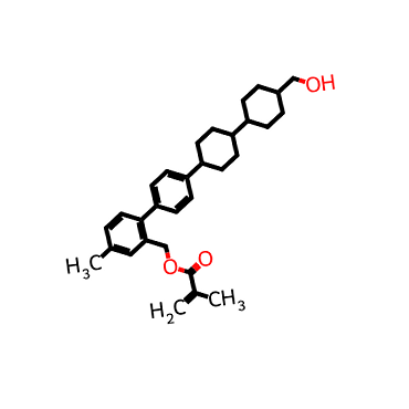 C=C(C)C(=O)OCc1cc(C)ccc1-c1ccc(C2CCC(C3CCC(CO)CC3)CC2)cc1